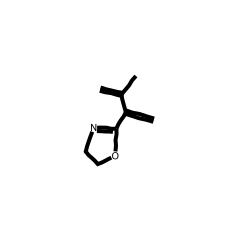 C=C(C)C(=C)C1=NCCO1